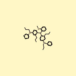 CCCc1cc(N(CCC)c2ccccc2)ccc1C(c1ccc(N(CCC)c2ccccc2)cc1CCC)c1ccccc1SC